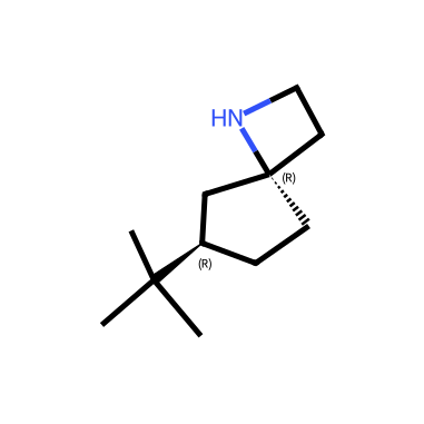 CC(C)(C)[C@@H]1CC[C@]2(CCN2)C1